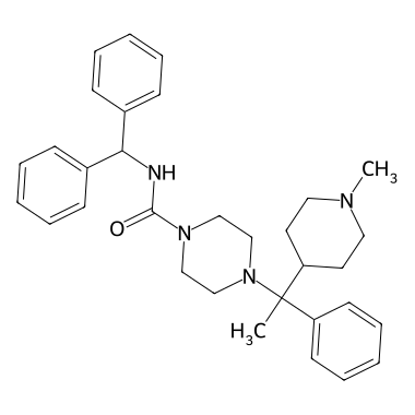 CN1CCC(C(C)(c2ccccc2)N2CCN(C(=O)NC(c3ccccc3)c3ccccc3)CC2)CC1